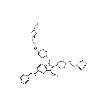 Cc1c(-c2ccc(OCc3ccccc3)cc2)n(Cc2ccc(OCCN3CC(CF)C3)cc2)c2ccc(OCc3ccccc3)cc12